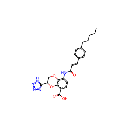 CCCCCc1ccc(C=CC(=O)Nc2ccc(C(=O)O)c3c2OCC(c2nnn[nH]2)O3)cc1